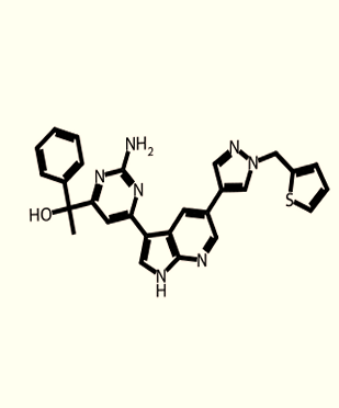 CC(O)(c1ccccc1)c1cc(-c2c[nH]c3ncc(-c4cnn(Cc5cccs5)c4)cc23)nc(N)n1